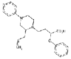 C=CCC1CN(c2ccncc2)CCN1CCC(Oc1ccccc1)C(=O)O